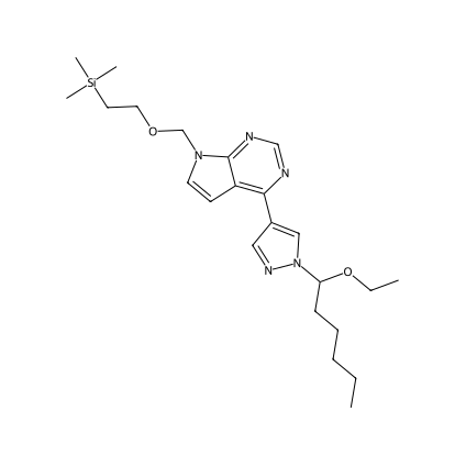 CCCCCC(OCC)n1cc(-c2ncnc3c2ccn3COCC[Si](C)(C)C)cn1